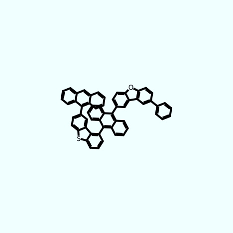 c1ccc(-c2ccc3oc4ccc(-c5c6ccccc6c(-c6cccc7sc8ccc(-c9c%10ccccc%10cc%10ccccc9%10)cc8c67)c6ccccc56)cc4c3c2)cc1